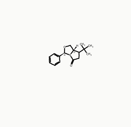 CC(C)(C)C1CC(=O)N2[C@@H](c3ccccc3)OC[C@H]12